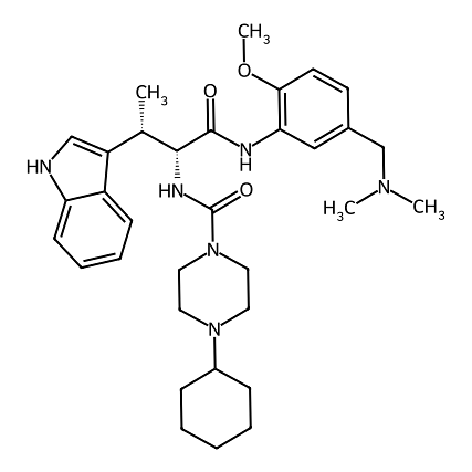 COc1ccc(CN(C)C)cc1NC(=O)[C@H](NC(=O)N1CCN(C2CCCCC2)CC1)[C@@H](C)c1c[nH]c2ccccc12